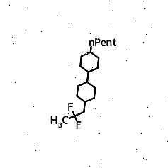 CCCCCC1CCC(C2CCC(CC(C)(F)F)CC2)CC1